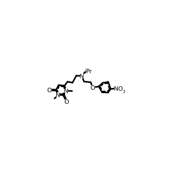 CC(C)N(CCCc1cc(=O)n(C)c(=O)n1C)CCOc1ccc([N+](=O)[O-])cc1